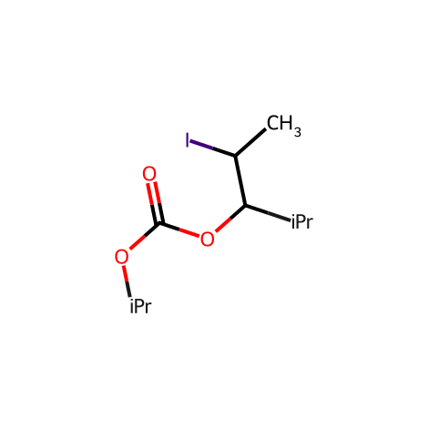 CC(C)OC(=O)OC(C(C)C)C(C)I